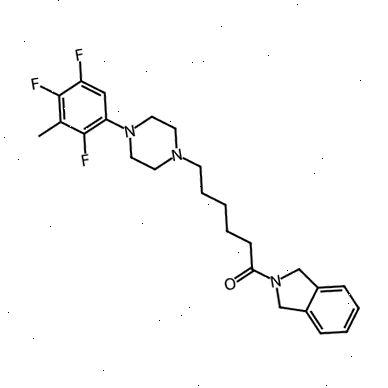 Cc1c(F)c(F)cc(N2CCN(CCCCCC(=O)N3Cc4ccccc4C3)CC2)c1F